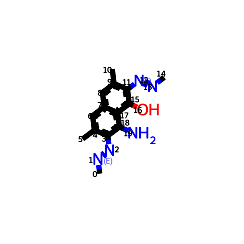 C/N=N/c1c(C)cc2cc(C)c(/N=N/C)c(O)c2c1N